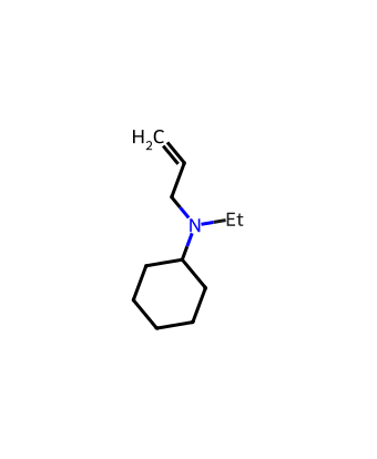 C=CCN(CC)C1CCCCC1